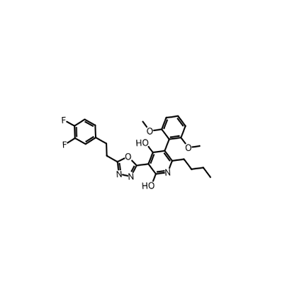 CCCCc1nc(O)c(-c2nnc(CCc3ccc(F)c(F)c3)o2)c(O)c1-c1c(OC)cccc1OC